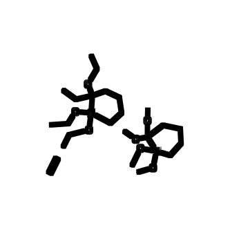 C=C.CCOC1(CC)CCCC[Si]1(OCC)OCC.COC1(OC)CCCC[Si]1(OC)OC